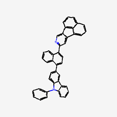 c1ccc(-n2c3ccccc3c3cc(-c4ccc(-c5cc6c(cn5)-c5cccc7cccc-6c57)c5ccccc45)ccc32)cc1